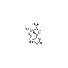 CCCCCC.O=[N+]([O-])c1ccc(-c2cccc(F)c2)nc1